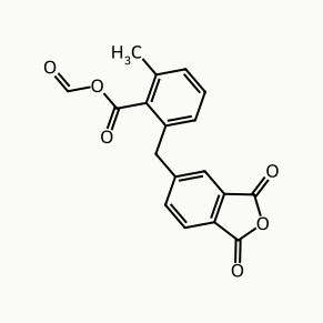 Cc1cccc(Cc2ccc3c(c2)C(=O)OC3=O)c1C(=O)OC=O